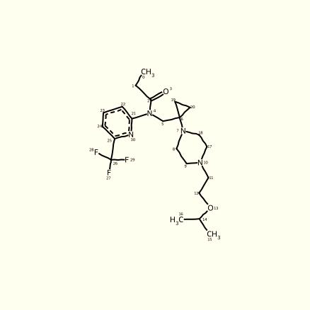 CCC(=O)N(CC1(N2CCN(CCOC(C)C)CC2)CC1)c1cccc(C(F)(F)F)n1